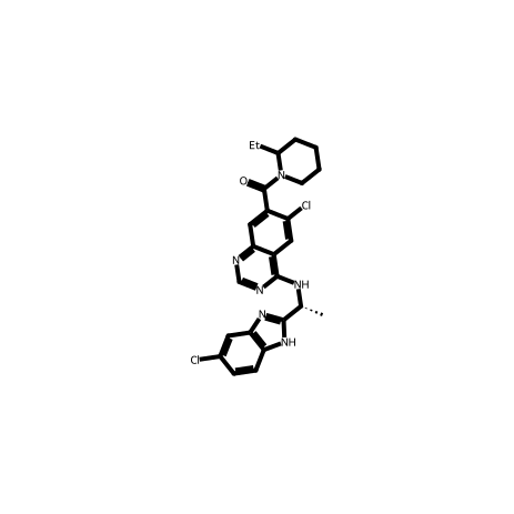 CCC1CCCCN1C(=O)c1cc2ncnc(N[C@H](C)c3nc4cc(Cl)ccc4[nH]3)c2cc1Cl